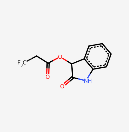 O=C(CC(F)(F)F)OC1C(=O)Nc2ccccc21